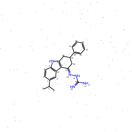 CC(C)c1ccc2[nH]c3c(c2c1)/C(=N/NC(=N)N)CC(c1ccccc1)C3